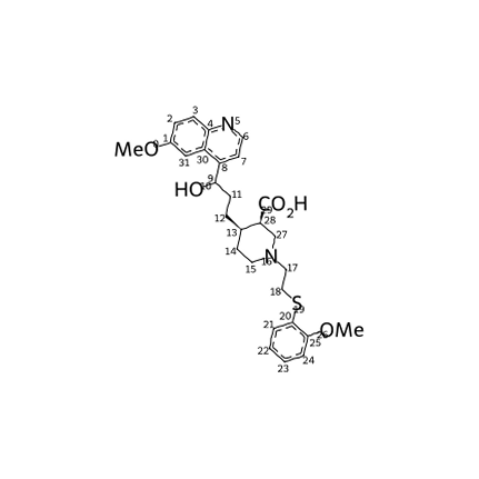 COc1ccc2nccc(C(O)CC[C@@H]3CCN(CCSc4ccccc4OC)C[C@@H]3C(=O)O)c2c1